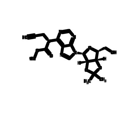 C#CCN(C(=O)OC(C)(C)C)c1ncnc2c1ncn2[C@@H]1O[C@H](CO)[C@H]2OC(C)(C)O[C@H]21